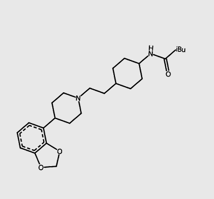 CCC(C)C(=O)NC1CCC(CCN2CCC(c3cccc4c3OCO4)CC2)CC1